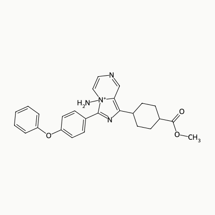 COC(=O)C1CCC(C2=C3C=NC=C[N+]3(N)C(c3ccc(Oc4ccccc4)cc3)=N2)CC1